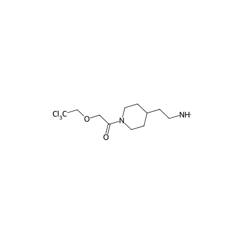 [NH]CCC1CCN(C(=O)COCC(Cl)(Cl)Cl)CC1